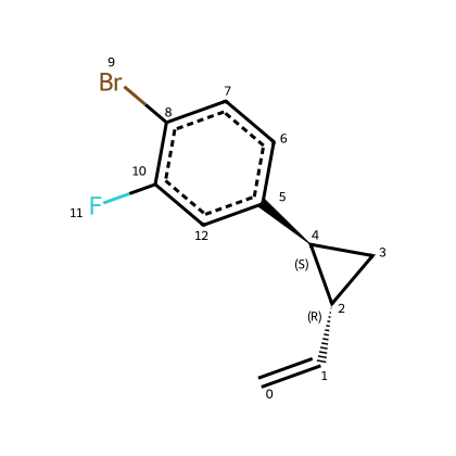 C=C[C@H]1C[C@@H]1c1ccc(Br)c(F)c1